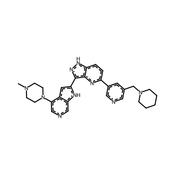 CN1CCN(c2cncc3[nH]c(-c4n[nH]c5ccc(-c6cncc(CN7CCCCC7)c6)nc45)cc23)CC1